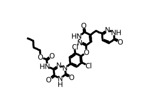 CCCCOC(=O)Nc1nn(-c2cc(Cl)c(Oc3cc(Cc4ccc(=O)[nH]n4)c(=O)[nH]n3)c(Cl)c2)c(=O)[nH]c1=O